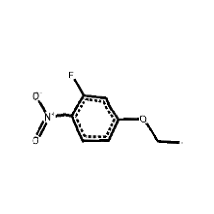 [CH2]COc1ccc([N+](=O)[O-])c(F)c1